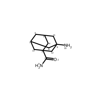 NC(=O)C12CC3CC(CC(N)(C3)C1)C2